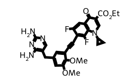 CCOC(=O)c1cn(C2CC2)c2c(F)c(C#Cc3cc(Cc4cnc(N)nc4N)cc(OC)c3OC)c(F)cc2c1=O